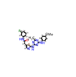 COc1ccc(Nc2nc(C)nc(Nc3ncc(CC(=O)Nc4cccc(F)c4)s3)n2)cc1